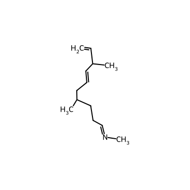 C=CC(C)C=CCC(C)CCC=NC